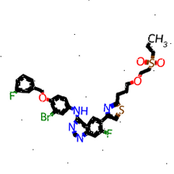 CCCS(=O)(=O)CCOCCCc1nc(-c2cc3c(Nc4ccc(OCc5cccc(F)c5)c(Br)c4)ncnc3cc2F)cs1